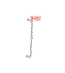 C1CO1.CCCCCCCCCCCCCOCCCCCCCCCCCCC.O=P(O)(O)O